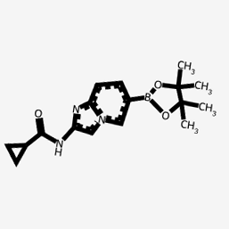 CC1(C)OB(c2ccc3nc(NC(=O)C4CC4)cn3c2)OC1(C)C